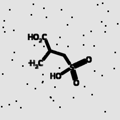 [CH2]C(CS(=O)(=O)O)C(=O)O